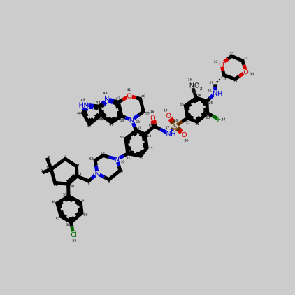 CC1(C)CCC(CN2CCN(c3ccc(C(=O)NS(=O)(=O)c4cc(F)c(NC[C@H]5COCCO5)c([N+](=O)[O-])c4)c(N4CCOc5nc6[nH]ccc6cc54)c3)CC2)=C(c2ccc(Cl)cc2)C1